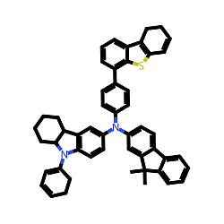 CC1(C)c2ccccc2-c2ccc(N(c3ccc(-c4cccc5c6c(sc45)C=CCC6)cc3)c3ccc4c(c3)C3CCCCC3N4C3=CC=CCC3)cc21